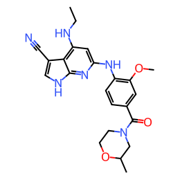 CCNc1cc(Nc2ccc(C(=O)N3CCOC(C)C3)cc2OC)nc2[nH]cc(C#N)c12